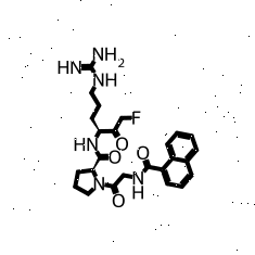 N=C(N)NCCC[C@H](NC(=O)[C@@H]1CCCN1C(=O)CNC(=O)c1cccc2ccccc12)C(=O)CF